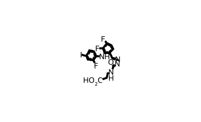 O=C(O)CCNc1nnc(-c2ccc(F)c(F)c2Nc2ccc(I)cc2F)o1